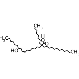 CCCCCCCCCCCCC(CCCCCC/C=C\C[C@H](O)CCCCCC)(CCCCCCCC)C(=O)O